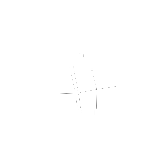 O=S(=O)(O)C(F)(F)F.[Au+3]